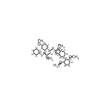 COc1ccc2c(c1)N(Cc1ccccc1)C(N)=CC2=Cc1sc2cc(-c3c(OC)cccc3OC)ccc2[n+]1C